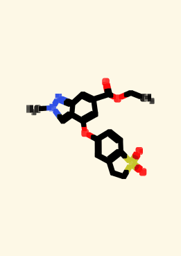 CCOC(=O)c1cc(Oc2ccc3c(c2)CCS3(=O)=O)c2cn(C)nc2c1